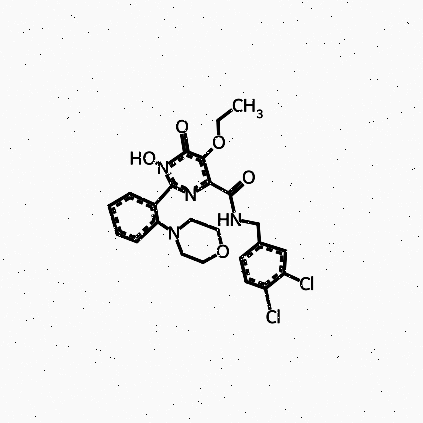 CCOc1c(C(=O)NCc2ccc(Cl)c(Cl)c2)nc(-c2ccccc2N2CCOCC2)n(O)c1=O